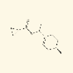 CC(OC(=O)C1CC1)C1=CC[C@H](C)CC1